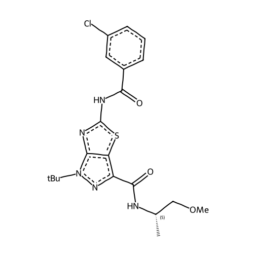 COC[C@H](C)NC(=O)c1nn(C(C)(C)C)c2nc(NC(=O)c3cccc(Cl)c3)sc12